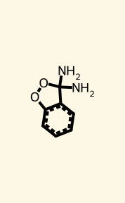 NC1(N)OOc2ccccc21